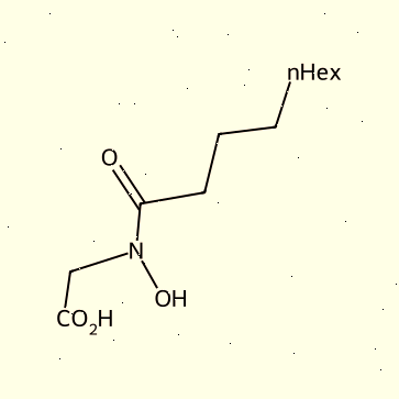 CCCCCCCCCC(=O)N(O)CC(=O)O